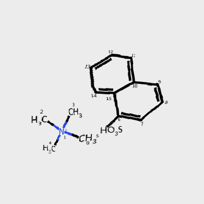 C[N+](C)(C)C.O=S(=O)(O)c1cccc2ccccc12